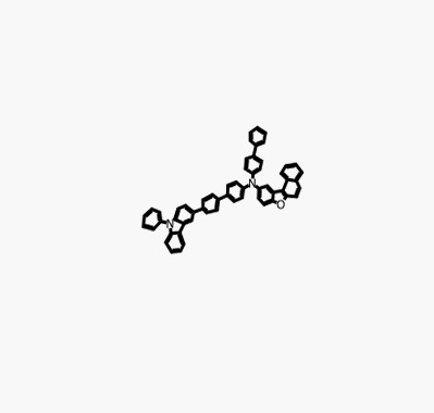 c1ccc(-c2ccc(N(c3ccc(-c4ccc(-c5ccc6c(c5)c5ccccc5n6-c5ccccc5)cc4)cc3)c3ccc4oc5ccc6ccccc6c5c4c3)cc2)cc1